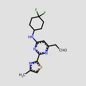 Cc1csc(-c2nc(CC=O)cc(NC3CCC(F)(F)CC3)n2)n1